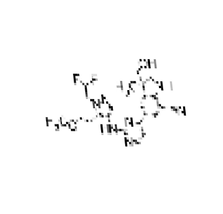 COCCc1c(Nc2nccc(-c3cc(C#N)c4c(c3)[C@@](C)(CO)CN4)n2)cnn1CC(F)F